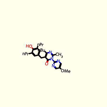 CCCCc1nc(C)n(-c2ncc(OC)cn2)c(=O)c1Cc1cc(CCC)c(O)c(CCC)c1